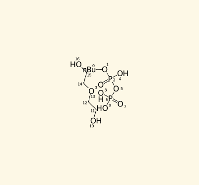 CCCCOP(=O)(O)OP(=O)(O)O.OCCOCCO